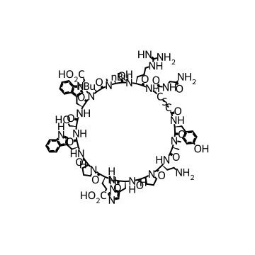 CCCC[C@H]1C(=O)N(C)[C@@H](CCCC)C(=O)N[C@@H](CCCNC(=N)N)C(=O)N[C@H](C(=O)NCC(N)=O)CSCC(=O)N[C@@H](Cc2ccc(O)cc2)C(=O)N(C)[C@@H](C)C(=O)N[C@@H](CCN)C(=O)N2CCC[C@H]2C(=O)N[C@@H](Cc2cnc[nH]2)C(=O)N[C@@H](CCC(=O)O)C(=O)N2CCC[C@H]2C(=O)N[C@@H](Cc2c[nH]c3ccccc23)C(=O)N[C@@H](CO)C(=O)N[C@@H](Cc2cn(CC(=O)O)c3ccccc23)C(=O)N1C